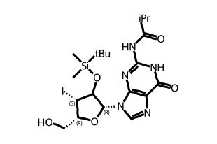 CC(C)C(=O)Nc1nc2c(ncn2[C@@H]2O[C@H](CO)[C@H](I)C2O[Si](C)(C)C(C)(C)C)c(=O)[nH]1